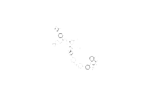 Cc1ncsc1-c1ccc([C@H](CN2CCC3(COC3)C2)NC(=O)[C@@H]2C[C@@H](O)CN2C(=O)[C@@H](n2cc(C3CCC(CN4CCC(c5ccc6c(c5)-n5c(nc(=O)c7c(Cl)cccc75)C6(C)C)CC4)CC3)nn2)C(C)(C)C)cc1